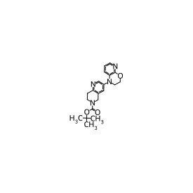 CC(C)(C)OC(=O)N1CCc2ncc(N3CCOc4ncccc43)cc2C1